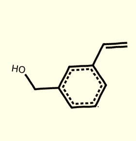 C=Cc1c[c]cc(CO)c1